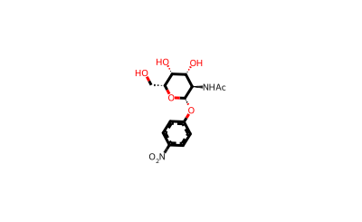 CC(=O)N[C@H]1[C@H](Oc2ccc([N+](=O)[O-])cc2)O[C@H](CO)[C@H](O)[C@@H]1O